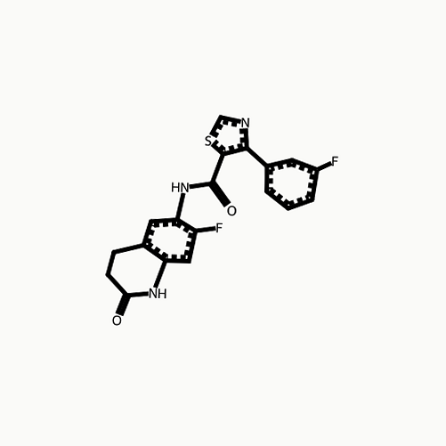 O=C1CCc2cc(NC(=O)c3scnc3-c3cccc(F)c3)c(F)cc2N1